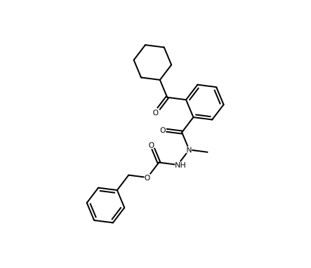 CN(NC(=O)OCc1ccccc1)C(=O)c1ccccc1C(=O)C1CCCCC1